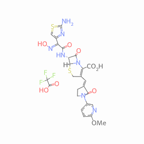 COc1ccc(N2CCC(=CC3=C(C(=O)O)N4C(=O)[C@@H](NC(=O)C(=NO)c5csc(N)n5)[C@H]4SC3)C2=O)cn1.O=C(O)C(F)(F)F